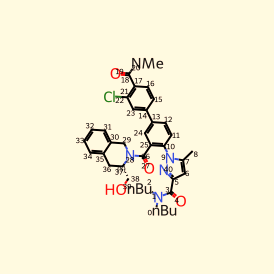 CCCCN(CCCC)C(=O)c1cc(C)n(-c2ccc(-c3ccc(C(=O)NC)c(Cl)c3)cc2C(=O)N2Cc3ccccc3C[C@H]2CO)n1